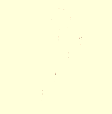 CCOC(=O)C[CH]c1ccc2c(c1)OCO2